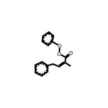 CC(=CCc1ccccc1)C(=O)OOc1ccccc1